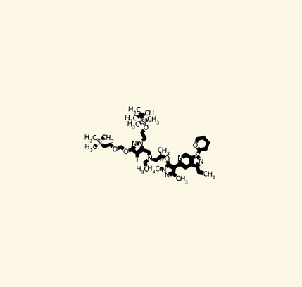 C=Cc1nn(C2CCCCO2)c2cnc(-c3c(C)nn(C)c3O[C@H](C)CN(CC)Cc3c(I)c(OCOCC[Si](C)(C)C)nn3CCO[Si](C)(C)C(C)(C)C)cc12